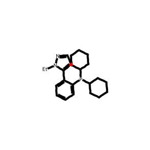 CCn1nccc1-c1ccccc1P(C1CCCCC1)C1CCCCC1